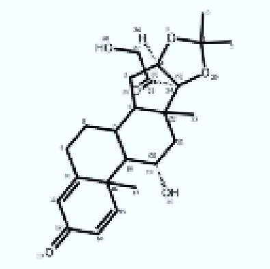 CC1(C)O[C@@H]2CC3C4CCC5=CC(=O)C=CC5(C)C4[C@@H](O)CC3(C)[C@]2(C(=O)CO)O1